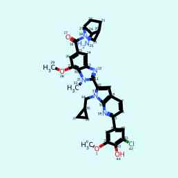 COc1cc(-c2ccc3cc(-c4nc5cc(C(=O)N6CC7CCC6C7N)cc(OC)c5n4C)n(CC4CC4)c3n2)cc(Cl)c1O